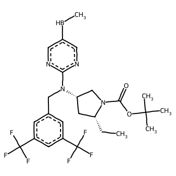 CBc1cnc(N(Cc2cc(C(F)(F)F)cc(C(F)(F)F)c2)[C@H]2C[C@@H](CC)N(C(=O)OC(C)(C)C)C2)nc1